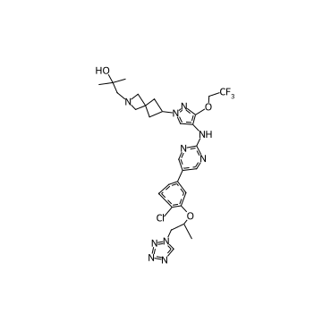 CC(Cn1cnnn1)Oc1cc(-c2cnc(Nc3cn(C4CC5(C4)CN(CC(C)(C)O)C5)nc3OCC(F)(F)F)nc2)ccc1Cl